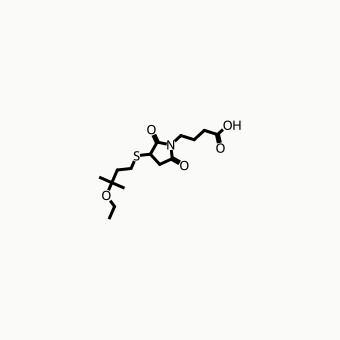 CCOC(C)(C)CCSC1CC(=O)N(CCCC(=O)O)C1=O